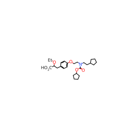 CCOC(Cc1ccc(OCCN(CCC2CCCC2)C(=O)OC2CCCC2)cc1)C(=O)O